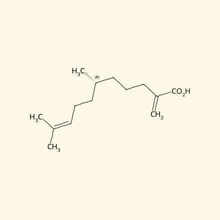 C=C(CCC[C@@H](C)CCC=C(C)C)C(=O)O